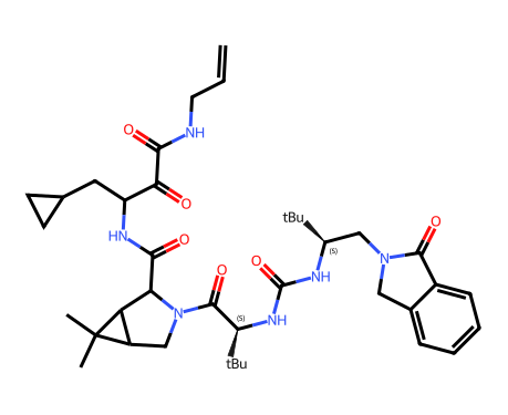 C=CCNC(=O)C(=O)C(CC1CC1)NC(=O)C1C2C(CN1C(=O)[C@@H](NC(=O)N[C@H](CN1Cc3ccccc3C1=O)C(C)(C)C)C(C)(C)C)C2(C)C